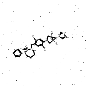 O=S1(=O)[C@@H](c2ccccc2)CCCCN1Cc1cc(F)c(N2C[C@@H]3[C@H](C2)[C@H]3n2cnnc2)cc1F